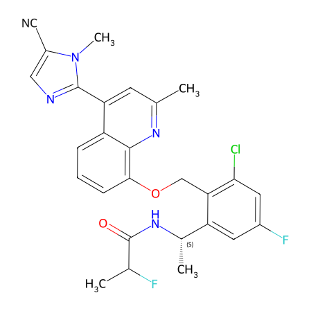 Cc1cc(-c2ncc(C#N)n2C)c2cccc(OCc3c(Cl)cc(F)cc3[C@H](C)NC(=O)C(C)F)c2n1